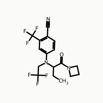 CCC(C(=O)N1CCC1)N(CC(F)(F)F)c1ccc(C#N)c(C(F)(F)F)c1